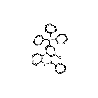 c1ccc([Si](c2ccccc2)(c2ccccc2)c2cc3c4c(c2)-c2ccccc2OB4c2ccccc2O3)cc1